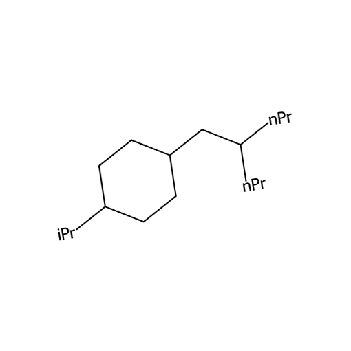 [CH2]CCC(CCC)CC1CCC(C(C)C)CC1